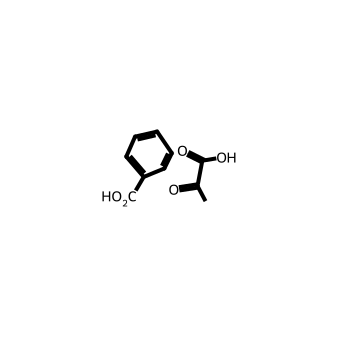 CC(=O)C(=O)O.O=C(O)c1ccccc1